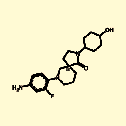 Nc1ccc(N2CCC[C@]3(CCN(C4CCC(O)CC4)C3=O)C2)c(F)c1